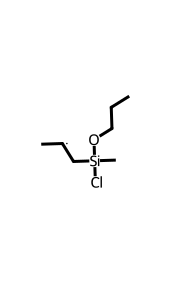 C[CH]C[Si](C)(Cl)OCCC